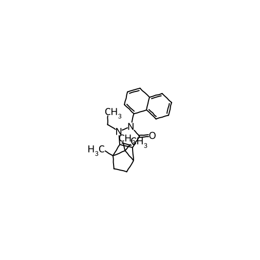 CCn1c2c(c(=O)n1-c1cccc3ccccc13)C1CCC2(C)C1(C)C